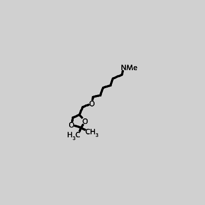 CNCCCCCCOCC1COC(C)(C)O1